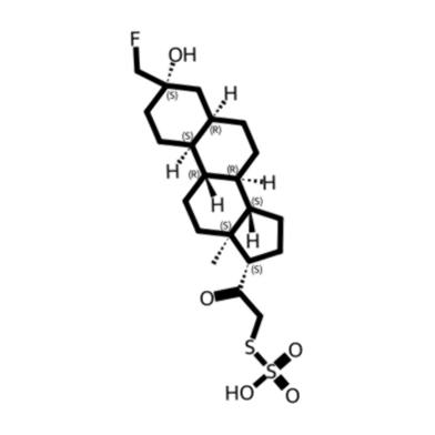 C[C@]12CC[C@H]3[C@@H](CC[C@@H]4C[C@](O)(CF)CC[C@@H]43)[C@@H]1CC[C@@H]2C(=O)CSS(=O)(=O)O